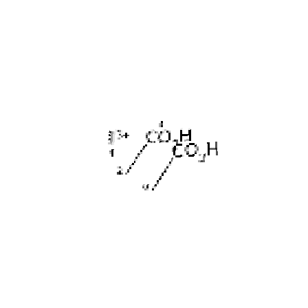 CC(=O)O.CC(=O)O.[I+3]